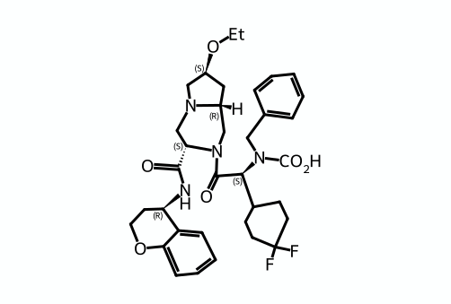 CCO[C@H]1C[C@@H]2CN(C(=O)[C@H](C3CCC(F)(F)CC3)N(Cc3ccccc3)C(=O)O)[C@H](C(=O)N[C@@H]3CCOc4ccccc43)CN2C1